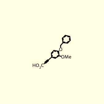 COc1cc(C#CC(=O)O)ccc1OCc1ccccc1